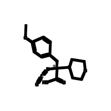 COc1ccc(C[C@](N=C=O)(C(=O)O)N2CCOCC2)cc1